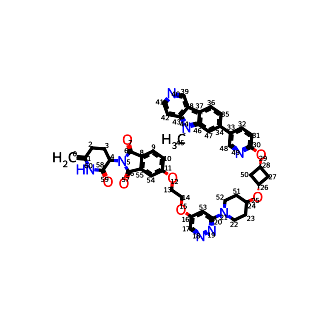 C=C1CCC(N2C(=O)c3ccc(OCCOc4cnnc(N5CCC(O[C@H]6C[C@H](Oc7ccc(-c8ccc9c%10cnccc%10n(C)c9c8)cn7)C6)CC5)c4)cc3C2=O)C(=O)N1